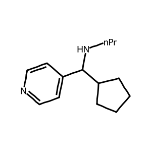 CCCNC(c1ccncc1)C1CCCC1